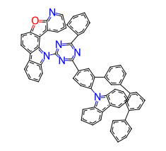 c1ccc(-c2cccc(-c3cccc(-c4cc(-c5nc(-c6ccccc6)nc(-n6c7ccccc7c7ccc8oc9ncccc9c8c76)n5)ccc4-n4c5ccccc5c5ccccc54)c3)c2)cc1